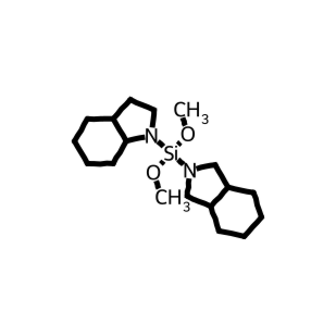 CO[Si](OC)(N1CC2CCCCC2C1)N1CCC2CCCCC21